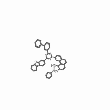 N=C1/C(=N\Nc2ccccc2)C=Cc2ccc3ccc(-c4nc(-c5cccc(-c6ccccc6)c5)nc(-c5ccc6c(c5)oc5ccccc56)n4)cc3c21